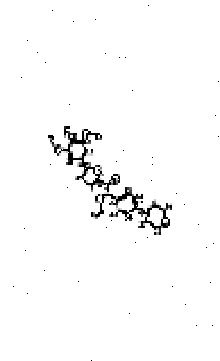 CCOC(C(=O)c1ccc(-c2cc(OC)c(F)c(OC)c2)o1)c1ccc(N2CCOCC2)cc1